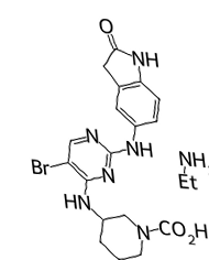 CCN.O=C1Cc2cc(Nc3ncc(Br)c(NC4CCCN(C(=O)O)C4)n3)ccc2N1